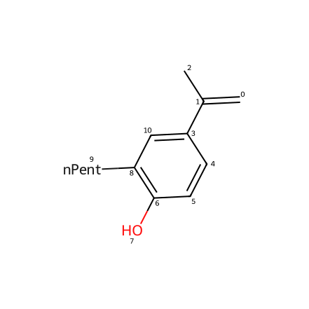 C=C(C)c1ccc(O)c(CCCCC)c1